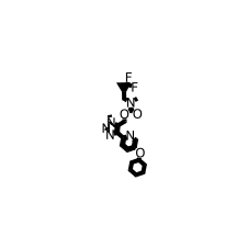 CN(CC1CC1(F)F)C(=O)OCc1c(-c2ccc(OC3CCCCC3)cn2)nnn1C